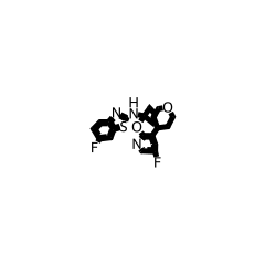 Fc1cnc(OC2(Nc3nc4ccc(F)cc4s3)CCC2)c(C2CCOCC2)c1